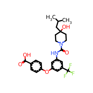 CC(C)CC1(O)CCN(C(=O)Nc2cc(Oc3ccc(C(=O)O)cc3)cc(C(F)(F)F)c2)CC1